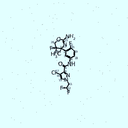 C[C@]1(c2cc(NC(=O)c3nn(CC(F)F)cc3Cl)ccc2F)N=C(N)OCC1(F)F